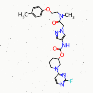 Cc1ccc(OCCN(C)C(=O)Cn2cc(NC(=O)OC3CCCN(c4ccnc(F)n4)C3)cn2)cc1